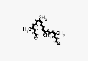 CC(=CCCC=C(C)CCC=C(C)CCC=O)CCC=C(C)CCC=O